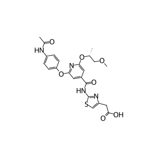 COC[C@@H](C)Oc1cc(C(=O)Nc2nc(CC(=O)O)cs2)cc(Oc2ccc(NC(C)=O)cc2)n1